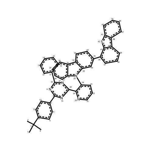 CC(C)(C)c1ccc(-c2nc(-c3ccccc3)nc(-c3ncccc3-n3c4ccccc4c4ccc(-c5cccc6c5sc5ccccc56)cc43)n2)cc1